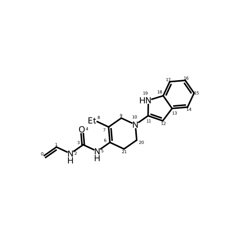 C=CNC(=O)NC1=C(CC)CN(c2cc3ccccc3[nH]2)CC1